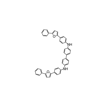 c1ccc(-c2ccc(-c3ccc(Nc4ccc(-c5ccc(Nc6ccc(-c7ccc(-c8ccccc8)o7)cc6)cc5)cc4)cc3)o2)cc1